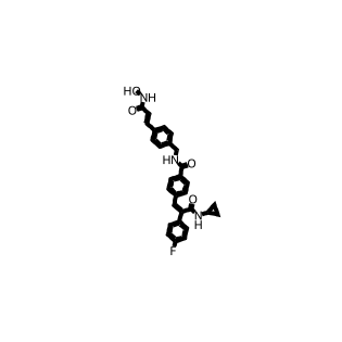 O=C(/C=C/c1ccc(CNC(=O)c2ccc(/C=C(\C(=O)NC3CC3)c3ccc(F)cc3)cc2)cc1)NO